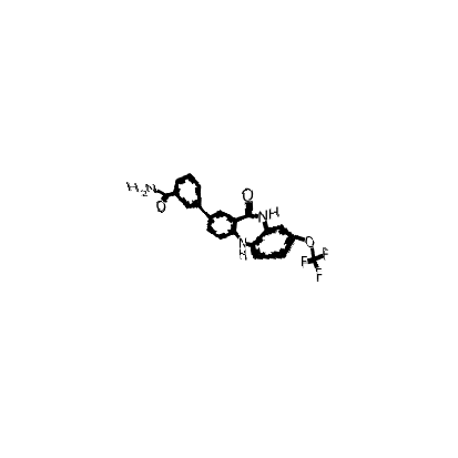 NC(=O)c1cccc(-c2ccc3c(c2)C(=O)Nc2cc(OC(F)(F)F)ccc2N3)c1